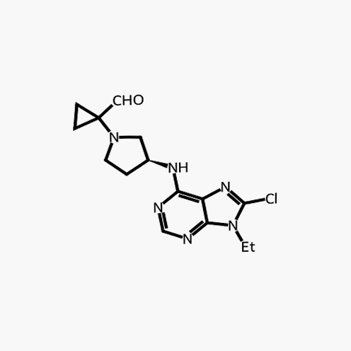 CCn1c(Cl)nc2c(N[C@H]3CCN(C4(C=O)CC4)C3)ncnc21